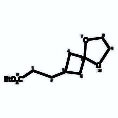 CCOC(=O)CCC1CC2(C1)OCCO2